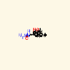 CC[C@H]1[C@@H](O)[C@@H]2[C@H](CC[C@]3(C)[C@@H](CCCNC(N)=O)CC[C@@H]23)[C@@]2(C)CC[C@@H](C3CCC3)C[C@@H]12